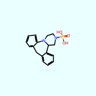 O=P(O)(O)N1CCN2c3ccccc3Cc3ccccc3C2C1